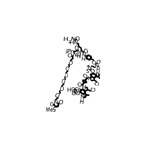 CSC1=CC(=O)N(CCOCCOCCOCCOCCOCCOCCC(=O)NC(C(=O)NC(CCCNC(N)=O)C(=O)Nc2ccc(COC(=O)N(C)CCN(C)C(=S)Oc3cc4c(c5c(C)c[nH]c35)C(CCl)CN4C(=O)C34CC(C(=O)N5CC(CCl)c6c5cc(OP(=O)(O)O)c5[nH]cc(C)c65)(C3)C4)cc2)C(C)C)C1=O